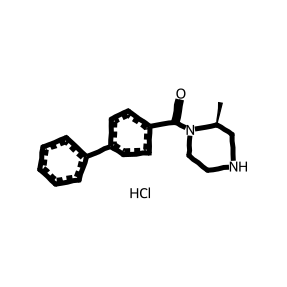 C[C@H]1CNCCN1C(=O)c1ccc(-c2ccccc2)cc1.Cl